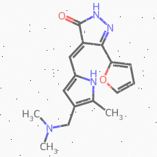 Cc1[nH]c(/C=C2/C(=O)NN=C2c2ccco2)cc1CN(C)C